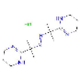 CC(C)(N=NC(C)(C)C1=NCCCN1)C1=NCCCN1.Cl